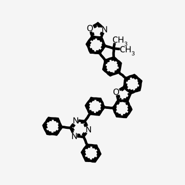 CC1(C)c2cc(-c3cccc4c3oc3c(-c5cccc(-c6nc(-c7ccccc7)nc(-c7ccccc7)n6)c5)cccc34)ccc2-c2ccc3ocnc3c21